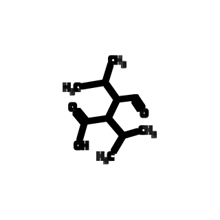 CC(C)C(C=O)C(C(=O)O)C(C)C